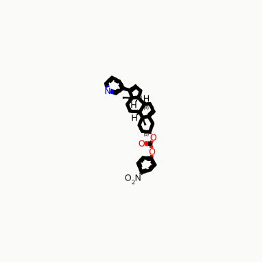 C[C@]12CC[C@H](OC(=O)Oc3ccc([N+](=O)[O-])cc3)CC1=CC[C@@H]1[C@@H]2CC[C@]2(C)C(c3cccnc3)=CC[C@@H]12